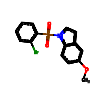 COc1ccc2c(ccn2S(=O)(=O)c2ccccc2Br)c1